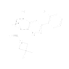 CC1(C)[C@H]2CC[C@]1(C(=O)N1CC(F)(F)C1)c1nnc(-c3ccccc3F)cc12